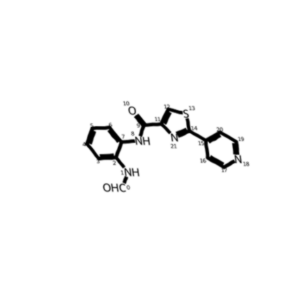 O=CNc1ccccc1NC(=O)c1csc(-c2ccncc2)n1